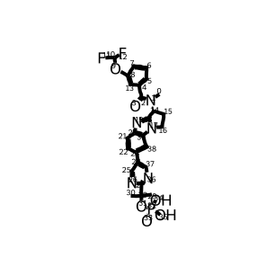 CN(C(=O)c1cccc(OC(F)F)c1)[C@@H]1CCn2c1nc1ccc(-c3cnc(C(C)(C)OP(=O)(O)O)nc3)cc12